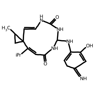 CC(C)/C1=C/C(=O)NC(NC2=CCC(=N)C=C2O)NC(=O)N/C=C/C12CC2C